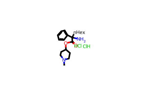 CCCCCCC(N)(C(=O)OC1CCN(C)CC1)c1ccccc1.Cl.Cl